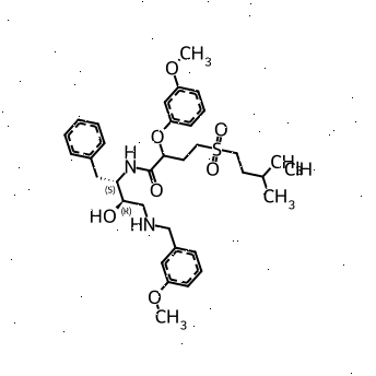 COc1cccc(CNC[C@@H](O)[C@H](Cc2ccccc2)NC(=O)C(CCS(=O)(=O)CCC(C)C)Oc2cccc(OC)c2)c1.Cl